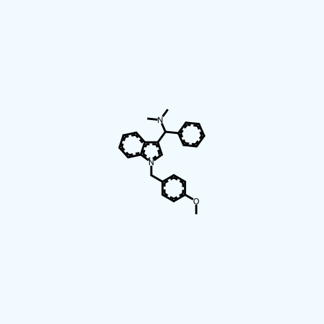 COc1ccc(Cn2cc(C(c3ccccc3)N(C)C)c3ccccc32)cc1